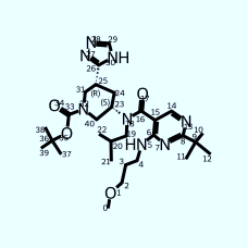 COCCCNc1nc(C(C)(C)C)ncc1C(=O)N(CC(C)C)[C@H]1C[C@@H](c2nnc[nH]2)CN(C(=O)OC(C)(C)C)C1